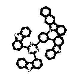 c1ccc2cc3c(cc2c1)c1ccccc1n3-c1ccc(-c2nc(-c3cccc4oc5ccccc5c34)nc(-c3cccc4oc5ccccc5c34)n2)cc1-c1cccc2sc3ccccc3c12